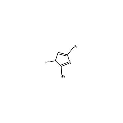 CC(C)C1=CC(C(C)C)C(C(C)C)=N1